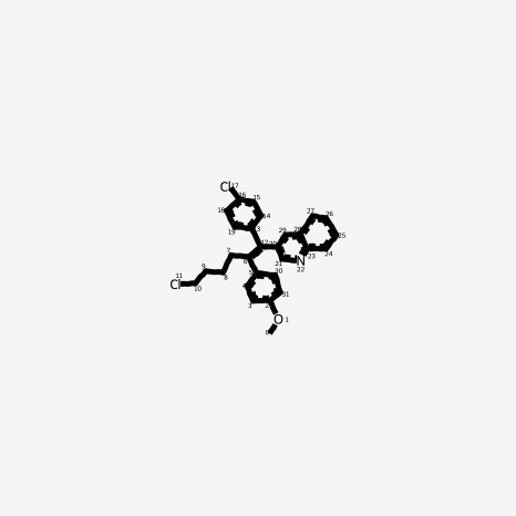 COc1ccc(/C(CCCCCl)=C(/c2ccc(Cl)cc2)c2cnc3ccccc3c2)cc1